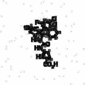 CC(C)(C)C[C@@H]1N[C@@H](C(=O)Nc2ccc(C(=O)O)[nH]2)[C@H](c2cccc(Cl)c2F)[C@@]1(C#N)c1ccc(Cl)cc1F